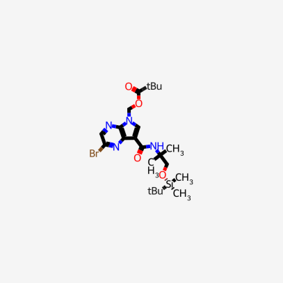 CC(C)(CO[Si](C)(C)C(C)(C)C)NC(=O)c1cn(COC(=O)C(C)(C)C)c2ncc(Br)nc12